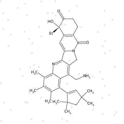 CC[C@@]1(O)C(=O)CCc2c1cc1n(c2=O)Cc2c-1nc1c(C)c(C)c(C)c(C3=CC(C)(C)CC3(C)C)c1c2CN